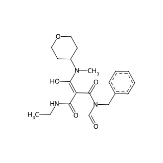 CCNC(=O)/C(C(=O)N(C=O)Cc1ccccc1)=C(\O)N(C)C1CCOCC1